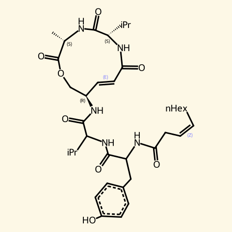 CCCCCC/C=C\CC(=O)NC(Cc1ccc(O)cc1)C(=O)NC(C(=O)N[C@@H]1/C=C/C(=O)N[C@@H](C(C)C)C(=O)N[C@@H](C)C(=O)OC1)C(C)C